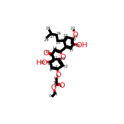 CCOC(=O)COc1cc(O)c2c(=O)cc(-c3cc(O)c(OC)cc3CCC(C)C)oc2c1